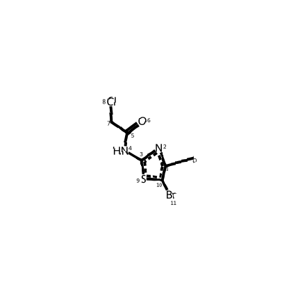 Cc1nc(NC(=O)CCl)sc1Br